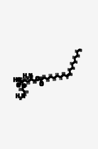 CCCCCCCC/C=C\CCCCCCCC(=O)OCC(N)CCP(=O)(O)OCCN